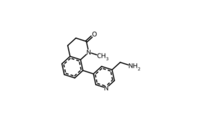 CN1C(=O)CCc2cccc(-c3cncc(CN)c3)c21